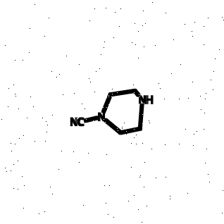 N#CN1CCNCC1